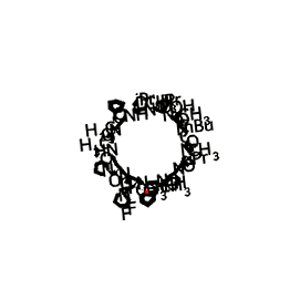 CCCCN1CC(=O)N(C)[C@@H](C(C)C)C(=O)N[C@@H](CC(C)C)C(=O)N(C)[C@@H](Cc2ccccc2)C(=O)N(C)[C@@H](CCN2CCCC(F)(F)C2)C(=O)N[C@H](C(=O)N2CCCCC2)CC(=O)N[C@H](C)C(=O)N(C)[C@@H](Cc2ccccc2)C(=O)N[C@@H](CC(C)C)C(=O)N(C)[C@@H](CC(C)C)C(=O)N[C@@H]([C@@H](C)O)C1=O